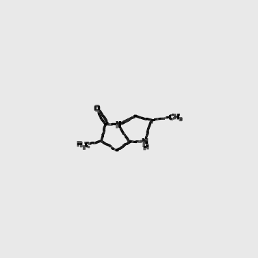 CC1CN2C(=O)C(C)CC2N1